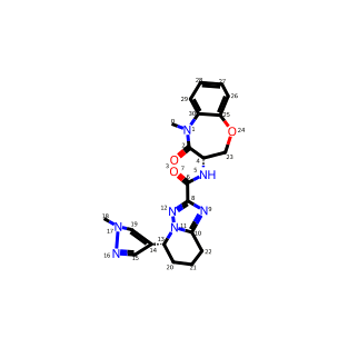 CN1C(=O)[C@@H](NC(=O)c2nc3n(n2)[C@@H](c2cnn(C)c2)CCC3)COc2ccccc21